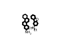 CCN(CC)c1ccc2oc3ccccc3c2c1.Nc1ccc2c(ccc3c4c(ccc32)CCCC4)c1